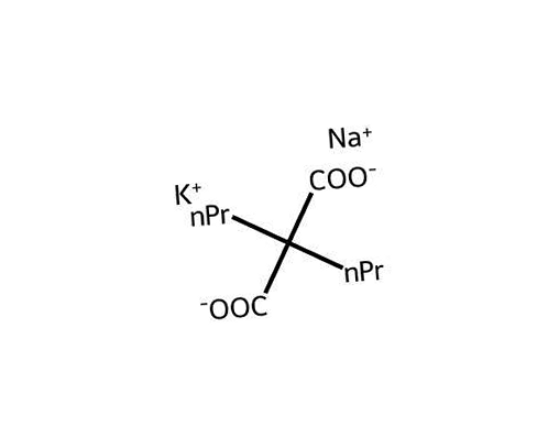 CCCC(CCC)(C(=O)[O-])C(=O)[O-].[K+].[Na+]